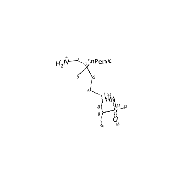 CCCCCC(C)(CN)CCCCC(C)S(C)(=N)=O